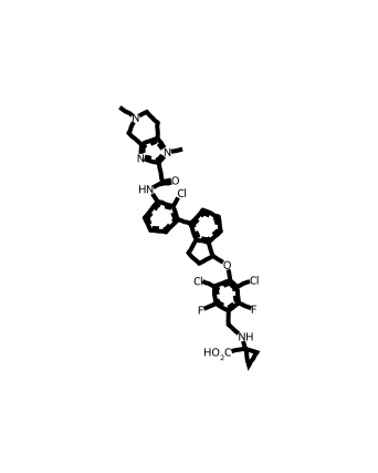 CN1CCc2c(nc(C(=O)Nc3cccc(-c4cccc5c4CCC5Oc4c(Cl)c(F)c(CNC5(C(=O)O)CC5)c(F)c4Cl)c3Cl)n2C)C1